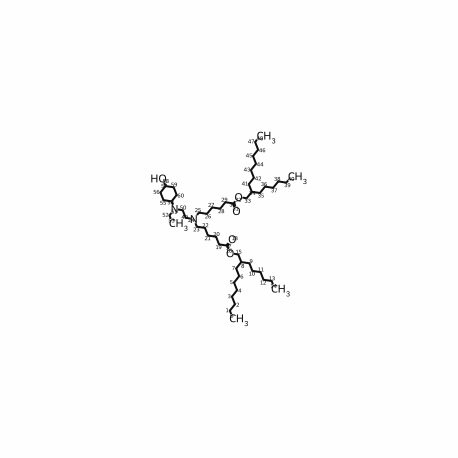 CCCCCCCCC(CCCCCC)COC(=O)CCCCCN(CCCCCC(=O)OCC(CCCCCC)CCCCCCCC)CCN(CC)C1CCC(O)CC1